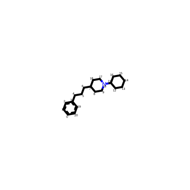 c1ccc(CCCC2CCN(C3CCCCC3)CC2)cc1